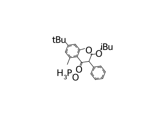 CCC(C)OC(=O)C(C(=O)c1c(C)cc(C(C)(C)C)cc1C)c1ccccc1.O=[PH3]